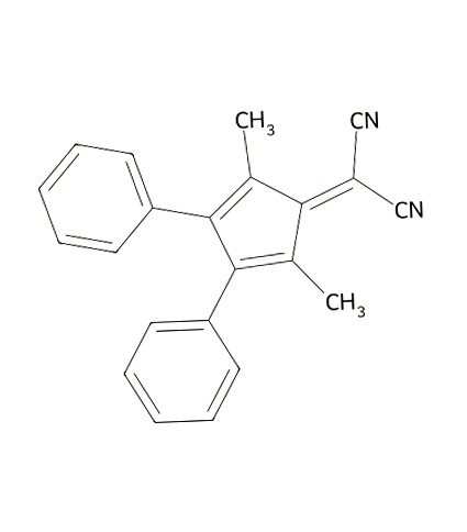 CC1=C(c2ccccc2)C(c2ccccc2)=C(C)C1=C(C#N)C#N